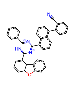 N#Cc1ccccc1-c1cccc2c(C(=N/C(=N)C3=CC=CC4Oc5ccccc5C34)/N=C/c3ccccc3)cccc12